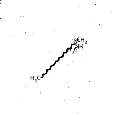 CCCCCCCCCCCCCCCCC/C(=N/C)NC